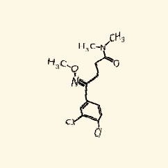 CON=C(CCC(=O)N(C)C)c1ccc(Cl)c(Cl)c1